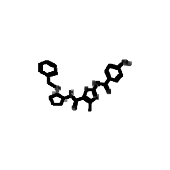 Cc1nc(NC(=O)c2ccc(C(C)(C)C)cc2)sc1C(=O)N[C@H]1CCC[C@@H]1OCc1ccccc1